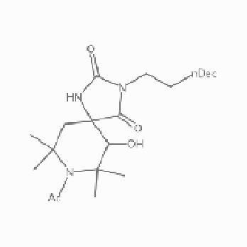 CCCCCCCCCCCCN1C(=O)NC2(CC(C)(C)N(C(C)=O)C(C)(C)C2O)C1=O